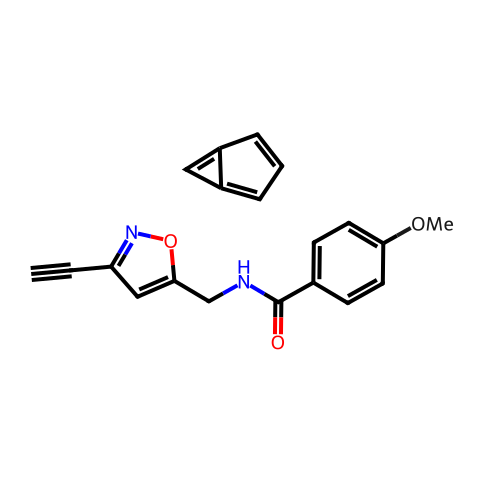 C#Cc1cc(CNC(=O)c2ccc(OC)cc2)on1.c1cc2cc-2c1